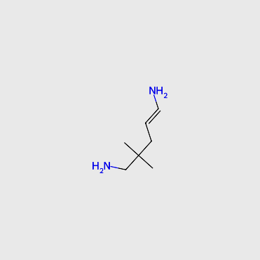 CC(C)(CN)CC=CN